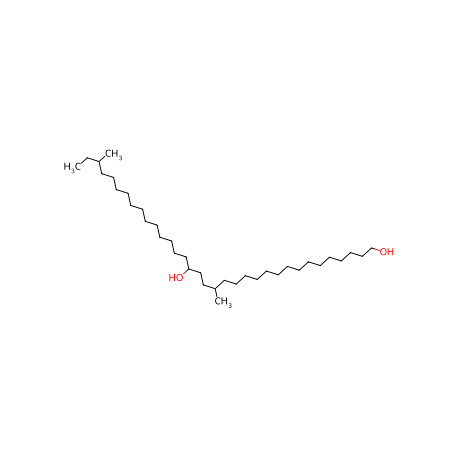 CCC(C)CCCCCCCCCCCCC(O)CCC(C)CCCCCCCCCCCCCCCO